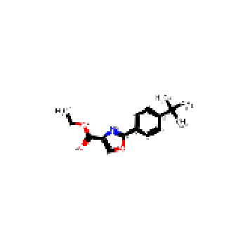 CCOC(=O)c1coc(-c2ccc(C(C)(C)C)cc2)n1